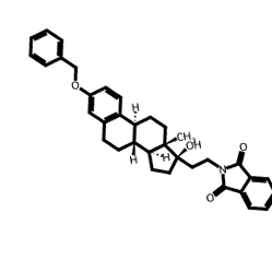 C[C@]12CC[C@@H]3c4ccc(OCc5ccccc5)cc4CC[C@H]3[C@@H]1CC[C@@]2(O)CCN1C(=O)c2ccccc2C1=O